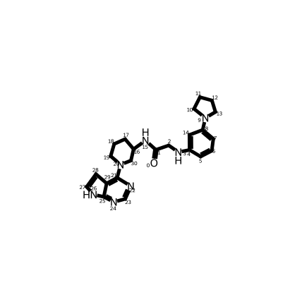 O=C(CNc1cccc(N2CCCC2)c1)NC1CCCN(c2ncnc3[nH]ccc23)C1